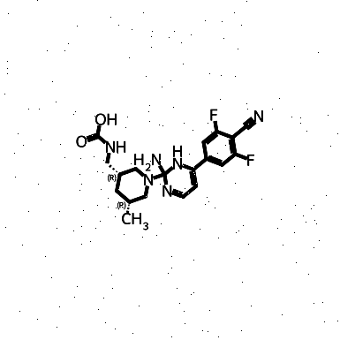 C[C@@H]1C[C@H](CNC(=O)O)CN(C2(N)N=CC=C(c3cc(F)c(C#N)c(F)c3)N2)C1